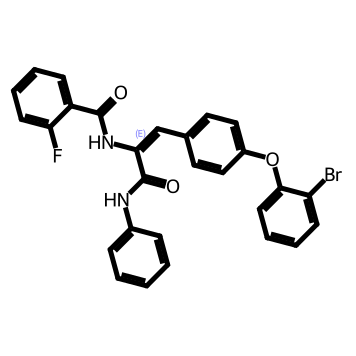 O=C(Nc1ccccc1)/C(=C\c1ccc(Oc2ccccc2Br)cc1)NC(=O)c1ccccc1F